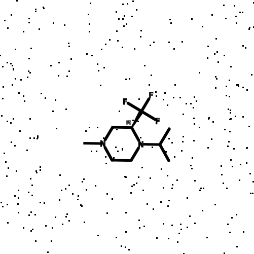 CC(C)N1CCN(C)C[C@H]1C(F)(F)F